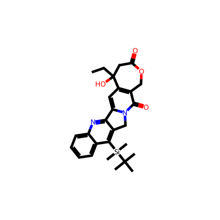 CCC1(O)CC(=O)OCc2c1cc1n(c2=O)Cc2c-1nc1ccccc1c2[Si](C)(C)C(C)(C)C